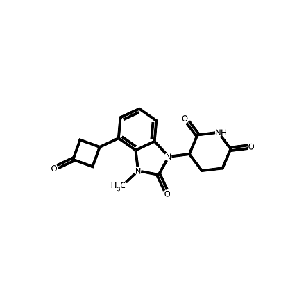 Cn1c(=O)n(C2CCC(=O)NC2=O)c2cccc(C3CC(=O)C3)c21